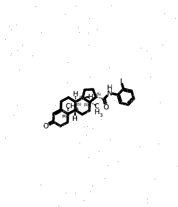 C[C@]12CC[C@H]3[C@@H](CCC4=CC(=O)CC[C@@]43C)[C@@H]1CC[C@@H]2C(=O)Nc1ccccc1I